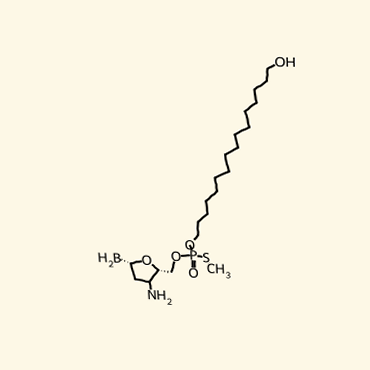 B[C@H]1CC(N)[C@@H](COP(=O)(OCCCCCCCCCCCCCCCCO)SC)O1